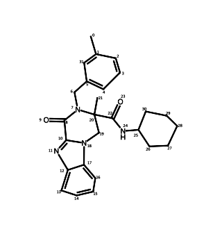 Cc1cccc(CN2C(=O)c3nc4ccccc4n3CC2(C)C(=O)NC2CCCCC2)c1